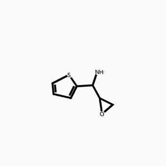 [NH]C(c1cccs1)C1CO1